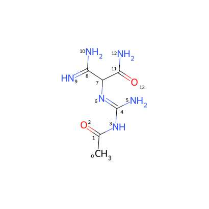 CC(=O)NC(N)=NC(C(=N)N)C(N)=O